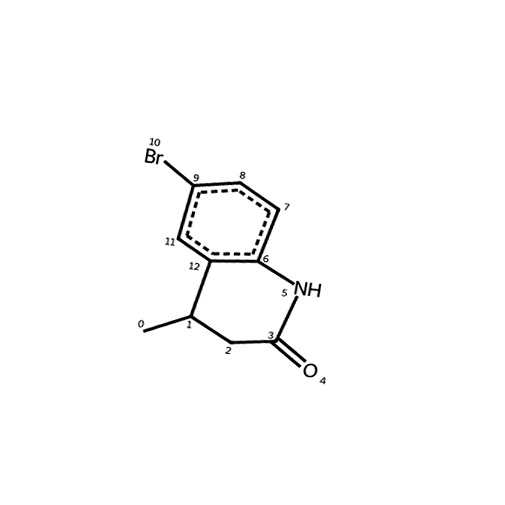 CC1CC(=O)Nc2ccc(Br)cc21